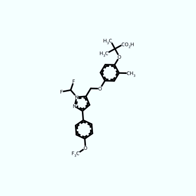 Cc1cc(OCc2cc(-c3ccc(OC(F)(F)F)cc3)nn2C(F)F)ccc1OC(C)(C)C(=O)O